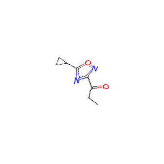 CCC(=O)c1noc(C2CC2)n1